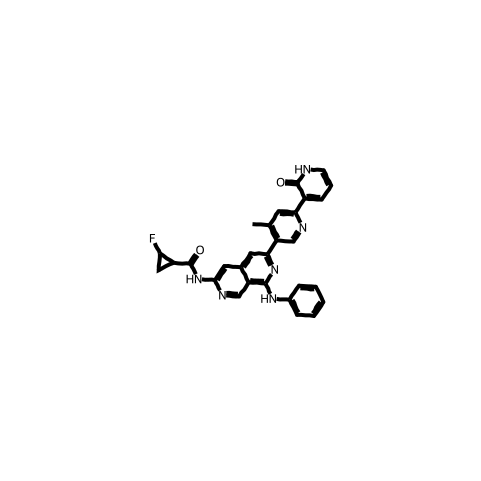 Cc1cc(-c2ccc[nH]c2=O)ncc1-c1cc2cc(NC(=O)C3CC3F)ncc2c(Nc2ccccc2)n1